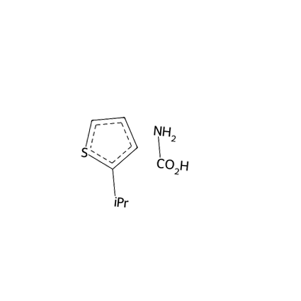 CC(C)c1cccs1.NC(=O)O